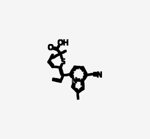 C=C/C(=C(\C=C/C)SC(C)(C)C(=O)O)c1ccc(C#N)c2cc(C)cn12